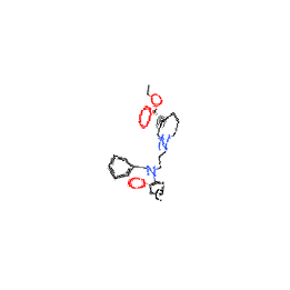 CCOC(=O)[C@@H]1CCCN(CCCN2Cc3ccccc3Oc3ccccc32)C1